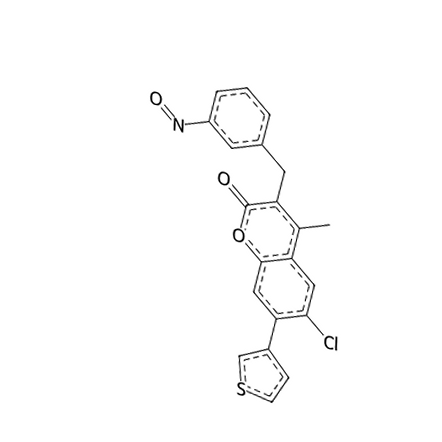 Cc1c(Cc2cccc(N=O)c2)c(=O)oc2cc(-c3ccsc3)c(Cl)cc12